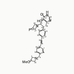 COC1CN(Cc2ccc(C#Cc3ccc([C@@H](Cc4nc[nH]c(=O)c4O)CN4CC(F)C4)cc3)cc2)C1